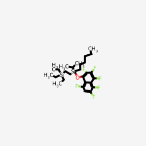 CCCCCC[Si](CC[Si](CC)(CC)CC)(Oc1c(F)c(F)c(F)c2c(F)c(F)[c]c(F)c12)C(C)C